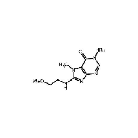 COCCNc1nc2ncn(C(C)(C)C)c(=O)c2n1C